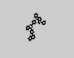 c1ccc(-n2ccc3c2ccc2c4ccccc4n(-c4ccc(-c5nc(-c6ccc(-c7cccc8ccccc78)cc6)c6ccccc6n5)cc4)c23)cc1